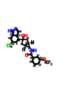 O=C(NC1[C@H]2CC(O)(c3cc(Cl)cc4[nH]ncc34)C[C@@H]12)c1cccc(OC(F)(F)F)c1